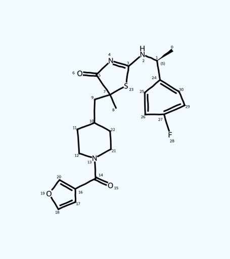 C[C@H](NC1=NC(=O)C(C)(CC2CCN(C(=O)c3ccoc3)CC2)S1)c1ccc(F)cc1